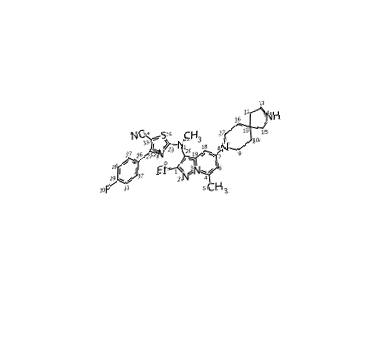 CCc1nn2c(C)cc(N3CCC4(CCNC4)CC3)cc2c1N(C)c1nc(-c2ccc(F)cc2)c(C#N)s1